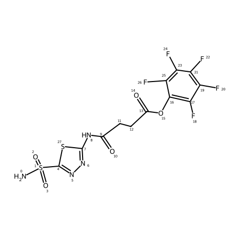 NS(=O)(=O)c1nnc(NC(=O)CCC(=O)Oc2c(F)c(F)c(F)c(F)c2F)s1